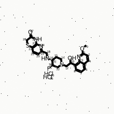 COc1ccc2cccc(C(O)CN3CC[C@H](NCc4ccc5c(n4)NC(=O)CS5)[C@H](F)C3)c2n1.Cl.Cl